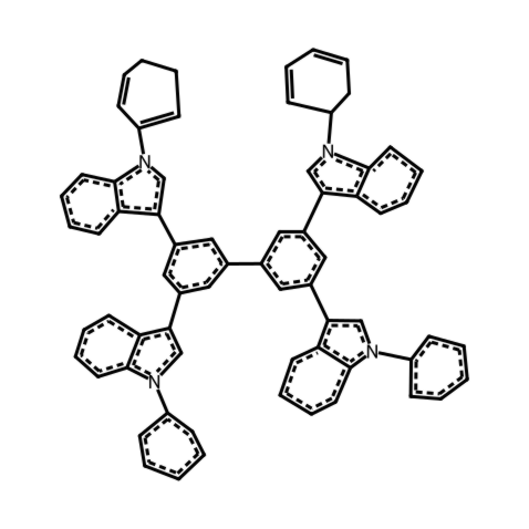 C1=CCC(n2cc(-c3cc(-c4cc(-c5cn(C6=CCCC=C6)c6ccccc56)cc(-c5cn(-c6ccccc6)c6ccccc56)c4)cc(-c4cn(-c5ccccc5)c5ccccc45)c3)c3ccccc32)C=C1